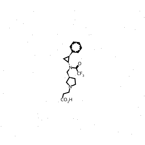 O=C(O)CCN1CC[C@H](CN(C(=O)C(F)(F)F)[C@@H]2C[C@H]2c2ccccc2)C1